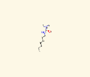 CCCCCCCNC(=O)N(C)C